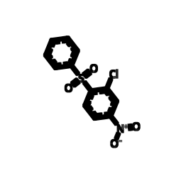 O=[N+]([O-])c1ccc(S(=O)(=O)c2ccccc2)c(Cl)c1